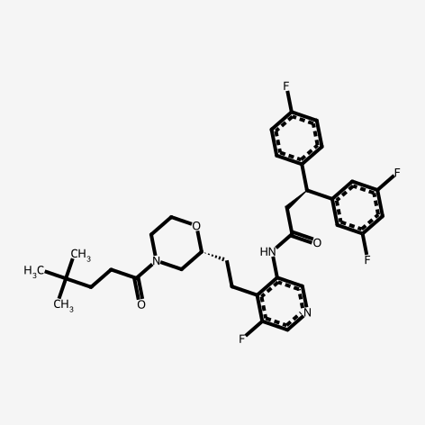 CC(C)(C)CCC(=O)N1CCO[C@H](CCc2c(F)cncc2NC(=O)C[C@@H](c2ccc(F)cc2)c2cc(F)cc(F)c2)C1